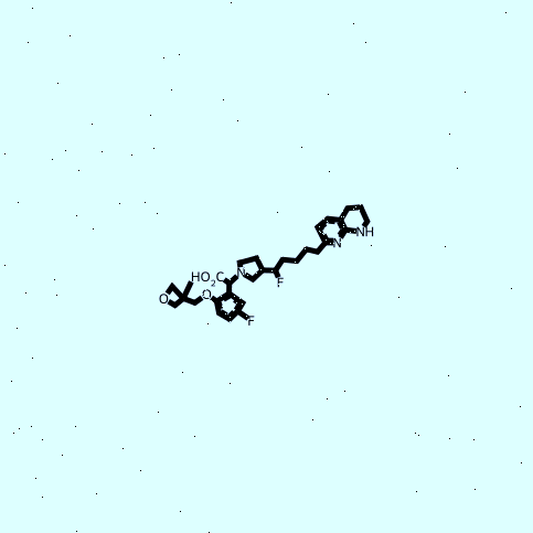 CC1(COc2ccc(F)cc2C(C(=O)O)N2CCC(C(F)CCCCc3ccc4c(n3)NCCC4)C2)COC1